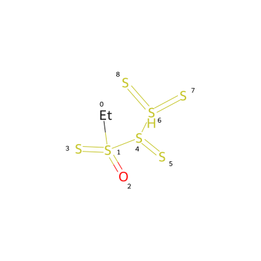 CCS(=O)(=S)S(=S)[SH](=S)=S